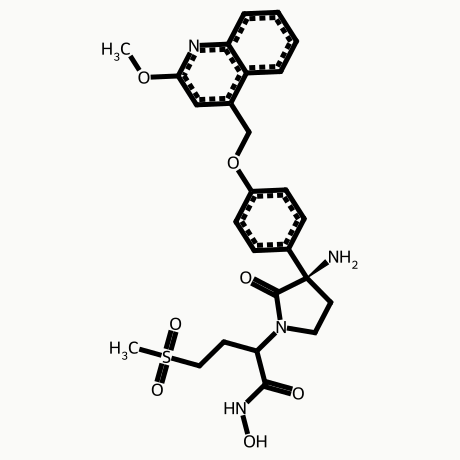 COc1cc(COc2ccc([C@]3(N)CCN(C(CCS(C)(=O)=O)C(=O)NO)C3=O)cc2)c2ccccc2n1